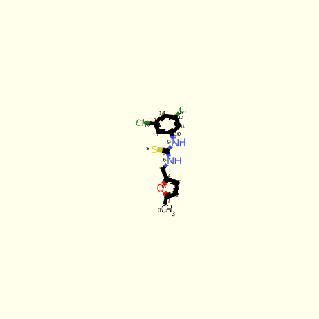 Cc1ccc(CNC(=S)Nc2cc(Cl)cc(Cl)c2)o1